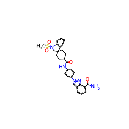 CS(=O)(=O)N1CC2(CCC(C(=O)Nc3ccc(-n4cc5cccc(C(N)=O)c5n4)cc3)CC2)c2ccccc21